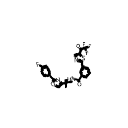 CC(C)(CNC(=O)c1cccc(-c2ncc(C(=O)C(F)(F)F)s2)c1)c1coc(-c2ccc(F)cc2)n1